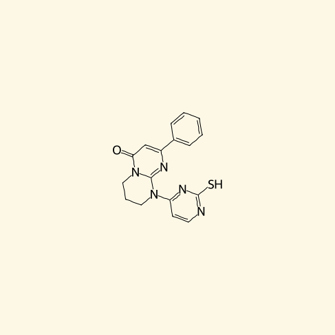 O=c1cc(-c2ccccc2)nc2n1CCCN2c1ccnc(S)n1